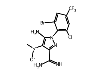 C[S+]([O-])c1c(C(=N)N)nn(-c2c(Cl)cc(C(F)(F)F)cc2Br)c1N